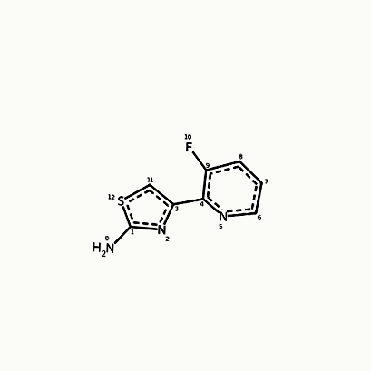 Nc1nc(-c2ncccc2F)cs1